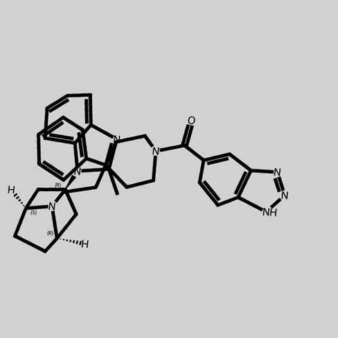 Cc1nc2ccccc2n1[C@H]1C[C@H]2CC[C@@H](C1)N2CCC1(c2ccccc2)CCN(C(=O)c2ccc3[nH]nnc3c2)CC1